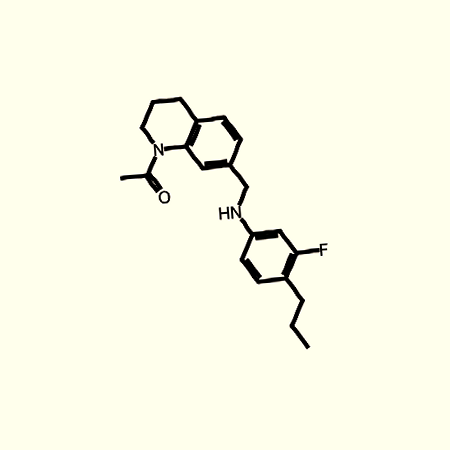 CCCc1ccc(NCc2ccc3c(c2)N(C(C)=O)CCC3)cc1F